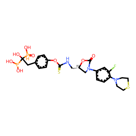 O=C1O[C@@H](CNC(=S)Oc2ccc(CC(O)(P(O)O)[PH](=O)O)cc2)CN1c1ccc(N2CCSCC2)c(F)c1